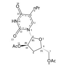 CCCc1cn([C@@H]2O[C@H](COC(C)=O)C[C@H]2OC(C)=O)c(=O)[nH]c1=O